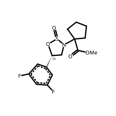 COC(=O)C1(N2C[C@H](c3cc(F)cc(F)c3)OS2=O)CCCC1